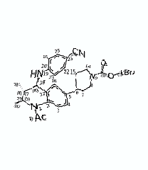 CC(=O)N1c2ccc(C3CCN(C(=O)OC(C)(C)C)CC3)cc2[C@H](Nc2ccc(C#N)cc2)[C@@H](C)[C@@H]1C